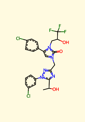 CC(O)c1nc(Cn2cc(-c3ccc(Cl)cc3)n(CC(O)C(F)(F)F)c2=O)nn1-c1cccc(Cl)c1